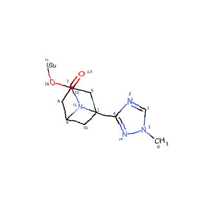 Cn1cnc(C23CCCC(C2)N3C(=O)OC(C)(C)C)n1